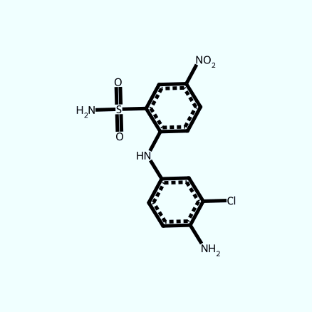 Nc1ccc(Nc2ccc([N+](=O)[O-])cc2S(N)(=O)=O)cc1Cl